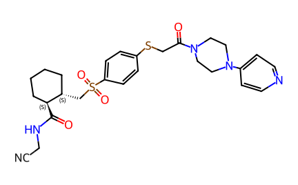 N#CCNC(=O)[C@H]1CCCC[C@@H]1CS(=O)(=O)c1ccc(SCC(=O)N2CCN(c3ccncc3)CC2)cc1